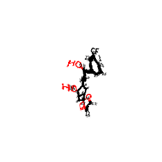 OC(C#CC1CC2C(CC23OCCO3)C1O)c1cccc(C(F)(F)F)c1